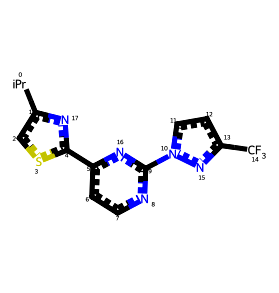 CC(C)c1csc(-c2c[c]nc(-n3ccc(C(F)(F)F)n3)n2)n1